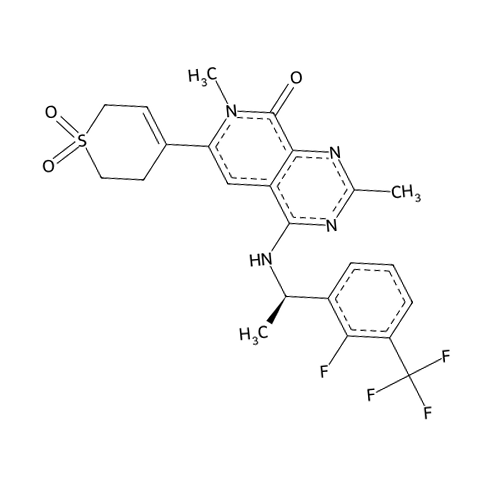 Cc1nc(N[C@H](C)c2cccc(C(F)(F)F)c2F)c2cc(C3=CCS(=O)(=O)CC3)n(C)c(=O)c2n1